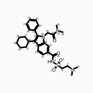 CN(C)CCS(=O)(=O)NC(=O)c1ccc2c(C3CCCCC3)c(-c3ccccc3)n(CC(=O)N(C)C)c2c1